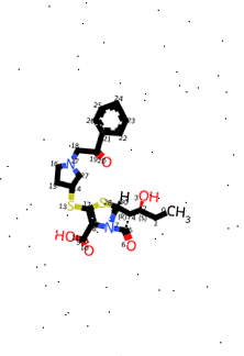 CC[C@H](O)[C@@H]1C(=O)N2C(C(=O)O)=C(SC3CCN(CC(=O)c4ccccc4)C3)S[C@H]12